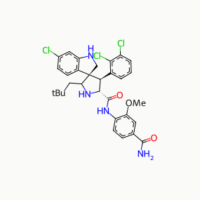 COc1cc(C(N)=O)ccc1NC(=O)[C@@H]1NC(CC(C)(C)C)[C@@]2(CNc3cc(Cl)ccc32)[C@H]1c1cccc(Cl)c1Cl